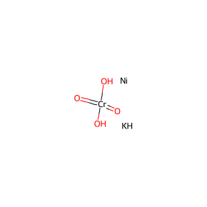 [KH].[Ni].[O]=[Cr](=[O])([OH])[OH]